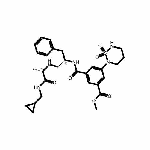 COC(=O)c1cc(C(=O)N[C@H](CN[C@@H](C)C(=O)NCC2CC2)Cc2ccccc2)cc(N2CCCNS2(=O)=O)c1